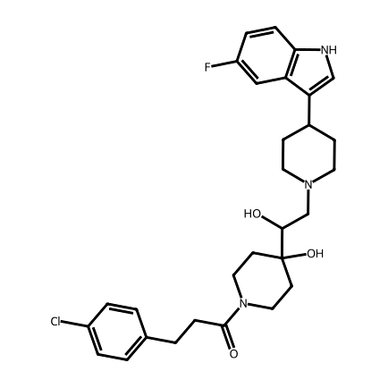 O=C(CCc1ccc(Cl)cc1)N1CCC(O)(C(O)CN2CCC(c3c[nH]c4ccc(F)cc34)CC2)CC1